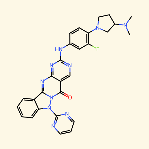 CN(C)C1CCN(c2ccc(Nc3ncc4c(=O)n5c(nc4n3)c3ccccc3n5-c3ncccn3)cc2F)C1